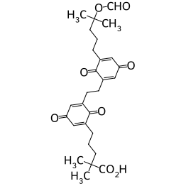 CC(C)(CCCC1=CC(=O)C=C(CCC2=CC(=O)C=C(CCCC(C)(C)C(=O)O)C2=O)C1=O)OC=O